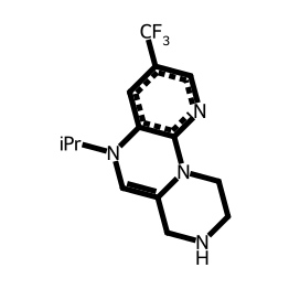 CC(C)N1C=C2CNCCN2c2ncc(C(F)(F)F)cc21